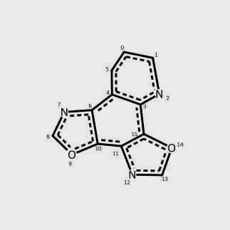 c1cnc2c(c1)c1ncoc1c1ncoc21